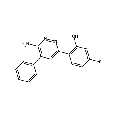 Nc1nnc(-c2ccc(F)cc2O)cc1-c1ccccc1